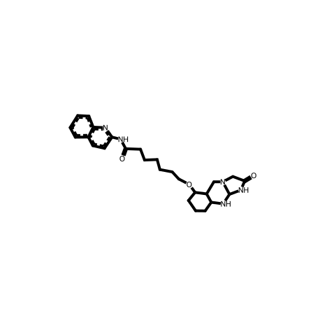 O=C(CCCCCCOC1CCCC2NC3NC(=O)CN3CC21)Nc1ccc2ccccc2n1